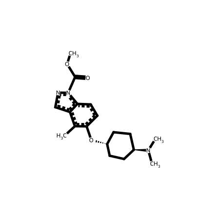 COC(=O)n1ncc2c(C)c(O[C@H]3CC[C@H](N(C)C)CC3)ccc21